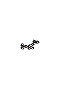 c1ccc(-c2ccccc2N(c2ccc(-c3ccc(-n4c5ccccc5c5ccccc54)cc3)cc2)c2ccc(-c3cccc4c3oc3ccccc34)cc2)cc1